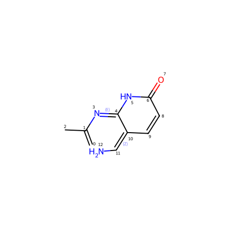 C=C(C)/N=C1/NC(=O)C=C/C1=C/N